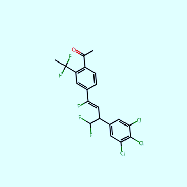 CC(=O)c1ccc(/C(F)=C/C(c2cc(Cl)c(Cl)c(Cl)c2)C(F)F)cc1C(C)(F)F